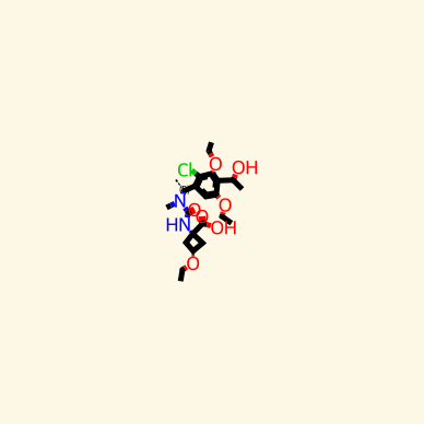 CCOc1cc([C@@H](C)N(C)C(=O)N[C@]2(C(=O)O)C[C@H](OCC)C2)c(Cl)c(OCC)c1C(C)O